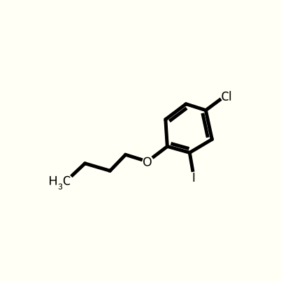 CCCCOc1ccc(Cl)cc1I